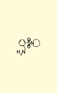 NCc1ccccc1S(=O)(=O)N1CCCCCC1